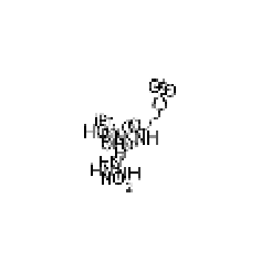 CC(C)C[C@H](NC(=O)[C@H](CCCNC(=N)N[N+](=O)[O-])NC(=O)CCCc1ccc(S(C)(=O)=O)cc1)B(O)O